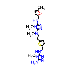 Cc1ccc(CNc2nnc(N(C)CCc3ccc(CNc4nnc(N)n4C)s3)n2C)o1